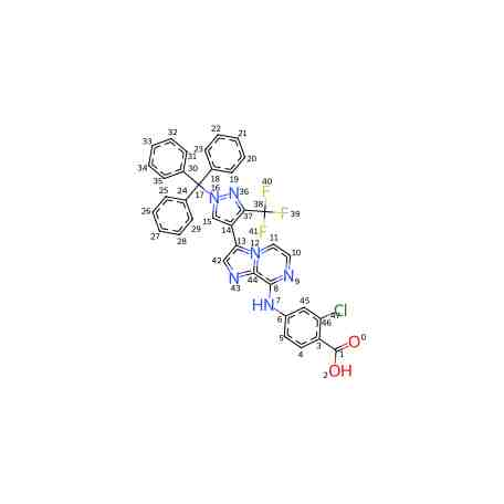 O=C(O)c1ccc(Nc2nccn3c(-c4cn(C(c5ccccc5)(c5ccccc5)c5ccccc5)nc4C(F)(F)F)cnc23)cc1Cl